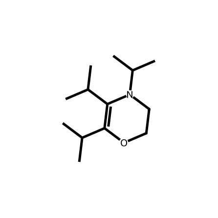 CC(C)C1=C(C(C)C)N(C(C)C)CCO1